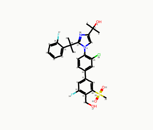 CC(C)(O)c1cn(-c2ccc(-c3cc(F)c(CO)c(S(C)(=O)=O)c3)cc2Cl)c(C(C)(C)c2ccccc2F)n1